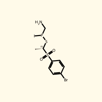 C[C@H](SP(I)CN)S(=O)(=O)c1ccc(Br)cc1